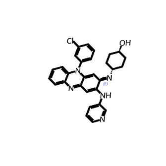 O[C@H]1CC[C@H](/N=c2\cc3n(-c4cccc(Cl)c4)c4ccccc4nc-3cc2Nc2cccnc2)CC1